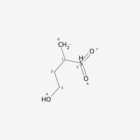 [CH2]C(CCO)[SH](=O)=O